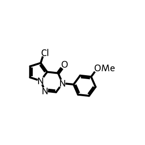 COc1cccc(-n2cnn3ccc(Cl)c3c2=O)c1